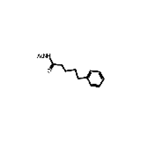 CC(=O)NC(=O)CCCCc1ccccc1